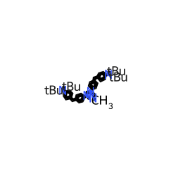 CN1CN(c2ccc(Cc3ccc(N(C(C)(C)C)C(C)(C)C)cc3)cc2)CN(c2ccc(Cc3ccc(N(C(C)(C)C)C(C)(C)C)cc3)cc2)C1